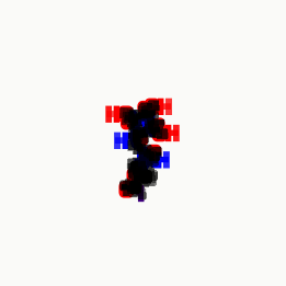 COc1cc(I)cc(CO[C@H]2CCCN(Cc3nn(CCCCNC(=O)CN4CCN(CC(=O)O)CCN(CC(=O)O)CCN(CC(=O)O)CC4)c(=O)[nH]3)[C@H]2c2ccccc2)c1